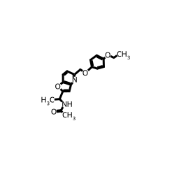 CCOc1ccc(OCc2ccc3oc(C(C)NC(C)=O)cc3n2)cc1